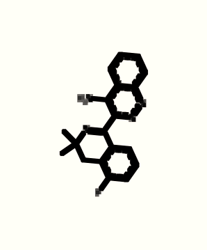 CC1(C)Cc2c(F)cccc2C(c2nnc3ccccc3c2N)=N1